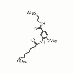 CCCCCCCCCCCCCCCCC(=O)Nc1cc(C(=O)NCCSC)ccc1SC